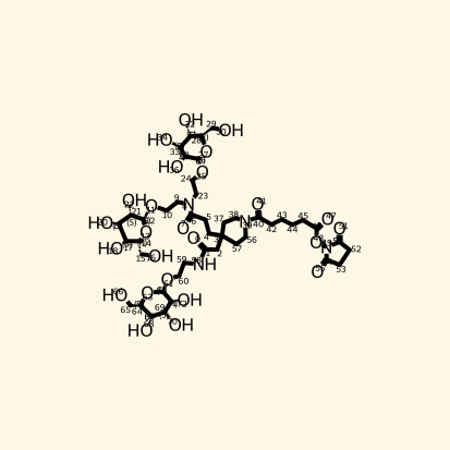 O=C(CC1(CCC(=O)N(CCO[C@H]2O[C@H](CO)[C@@H](O)[C@H](O)[C@@H]2O)CCO[C@H]2O[C@H](CO)[C@@H](O)[C@H](O)[C@@H]2O)CCN(C(=O)CCCCC(=O)ON2C(=O)CCC2=O)CC1)NCCO[C@@H]1O[C@H](CO)[C@@H](O)[C@H](O)[C@H]1O